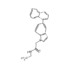 O=C(O)CNC(=O)Cn1ccc2cc(-c3cccc4ccccc34)ccc21